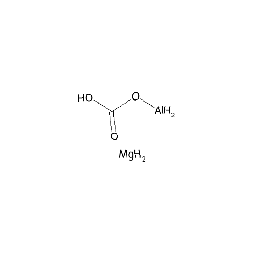 O=C(O)[O][AlH2].[MgH2]